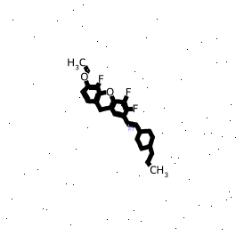 CCCC1CCC(/C=C/c2cc3c(c(F)c2F)Oc2c(ccc(OCC)c2F)C3)CC1